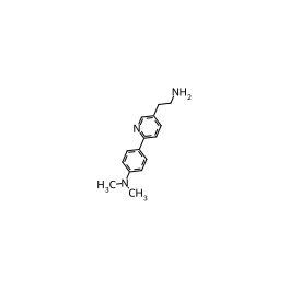 CN(C)c1ccc(-c2ccc(CCN)cn2)cc1